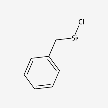 Cl[Si]Cc1ccccc1